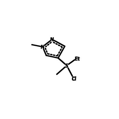 CCS(C)(Cl)c1cnn(C)c1